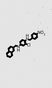 O=[N+]([O-])c1ccc(CNc2ccc(NCc3ccc4ccccc4c3)cc2Cl)cc1